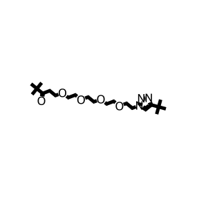 CC(C)(C)C(=O)CCOCCOCCOCCOCCn1cc(C(C)(C)C)nn1